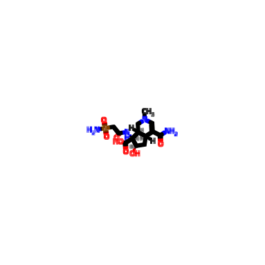 CN1C=C(C(N)=O)[C@@H]2C[C@H](O)[C@@](NC(=O)CS(N)(=O)=O)(C(=O)O)[C@@H]2C1